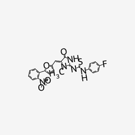 CN1/C(=C\c2ccc(-c3ccccc3[N+](=O)[O-])o2)C(=O)N/C1=N\C(=S)Nc1ccc(F)cc1